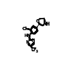 FC(F)(F)c1cnc(Nc2ccc([C@H]3CNCCO3)cc2Cl)nc1